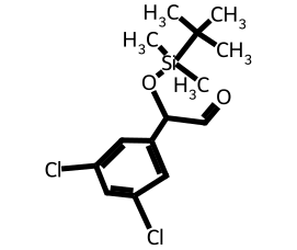 CC(C)(C)[Si](C)(C)OC(C=O)c1cc(Cl)cc(Cl)c1